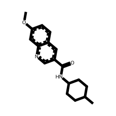 COc1ccc2cc(C(=O)NC3CCC(C)CC3)cnc2c1